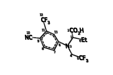 CCC(C(=O)O)N(CC(F)(F)F)c1ccc(C#N)c(C(F)(F)F)c1